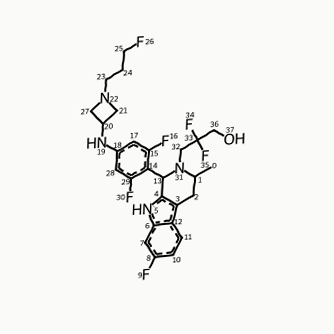 CC1Cc2c([nH]c3cc(F)ccc23)C(c2c(F)cc(NC3CN(CCCF)C3)cc2F)N1CC(F)(F)CO